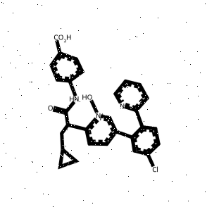 O=C(O)c1ccc(NC(=O)C(CC2CC2)c2ccc(-c3cc(Cl)ccc3-c3ccccn3)c[n+]2O)cc1